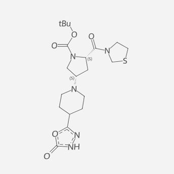 CC(C)(C)OC(=O)N1C[C@@H](N2CCC(c3n[nH]c(=O)o3)CC2)C[C@H]1C(=O)N1CCSC1